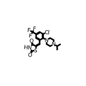 CC(C)N1CCN(c2c(Cl)cc(C(F)(F)F)cc2C=C2SC(=O)NC2=O)CC1